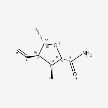 C=C[C@@H]1[C@H](C)[C@@H](C(N)=O)O[C@H]1C